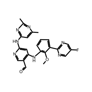 COc1c(Nc2cc(Nc3cc(C)nc(C)n3)ncc2C=O)cccc1-c1ncc(F)cn1